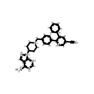 N#Cc1cnc(-c2ccc(CN3CCC(n4ncc5c(N)ncnc54)CC3)cc2)c(-c2ccccc2)c1